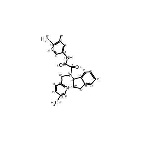 Cc1cc(NC(=O)C(=O)N(Cc2ccc(C(F)(F)F)cn2)C2CCc3ccccc32)cnc1N